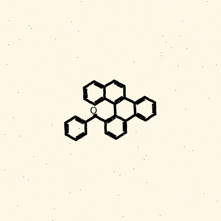 O=C(c1ccccc1)c1cccc2c3ccccc3c3ccc4ccccc4c3c12